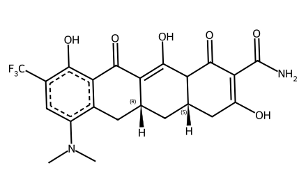 CN(C)c1cc(C(F)(F)F)c(O)c2c1C[C@H]1C[C@H]3CC(O)=C(C(N)=O)C(=O)C3C(O)=C1C2=O